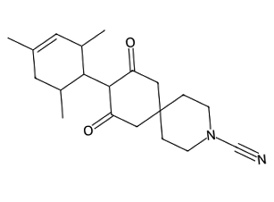 CC1=CC(C)C(C2C(=O)CC3(CCN(C#N)CC3)CC2=O)C(C)C1